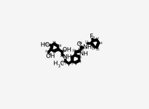 C[C@H](Cc1ccc2[nH]c(C(=O)NCc3ccccc3F)cc2c1)NC[C@@H](O)c1ccc(O)c(CO)c1